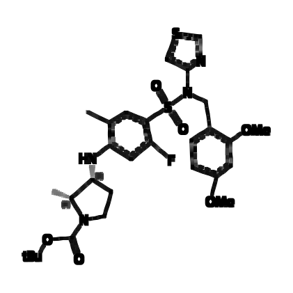 COc1ccc(CN(c2cscn2)S(=O)(=O)c2cc(C)c(N[C@@H]3CCN(C(=O)OC(C)(C)C)[C@@H]3C)cc2F)c(OC)c1